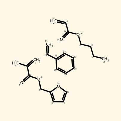 C=C(C)C(=O)OCc1ccco1.C=CC(=O)OCCCC.C=Cc1ccccc1